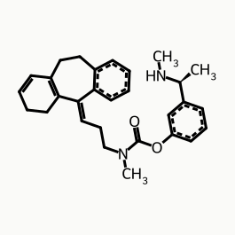 CN[C@@H](C)c1cccc(OC(=O)N(C)CC/C=C2/C3=C(C=CCC3)CCc3ccccc32)c1